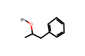 C[C](Cc1ccccc1)OC(C)C